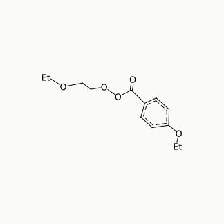 CCOC[CH]OOC(=O)c1ccc(OCC)cc1